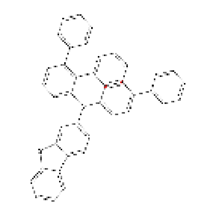 c1ccc(-c2ccc(N(c3ccc4c(c3)sc3ccccc34)c3cccc(-c4ccccc4)c3-c3ccccc3)cc2)cc1